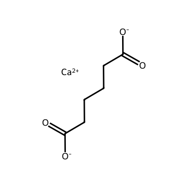 O=C([O-])CCCCC(=O)[O-].[Ca+2]